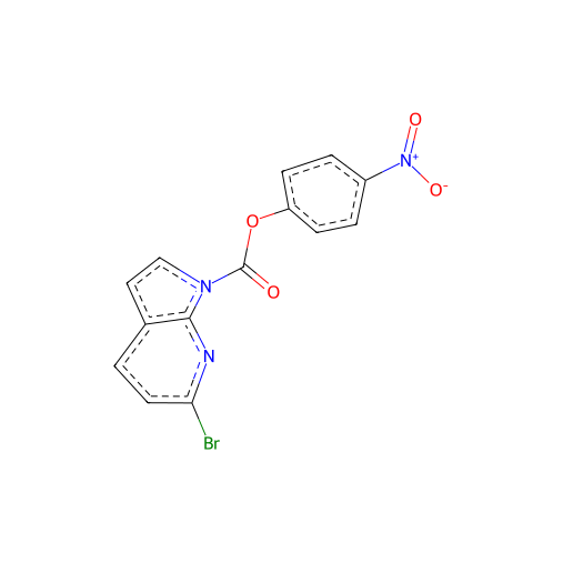 O=C(Oc1ccc([N+](=O)[O-])cc1)n1ccc2ccc(Br)nc21